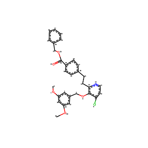 COc1cc(COc2c(Cl)ccnc2CCc2ccc(C(=O)OCc3ccccc3)cc2)cc(OC)c1